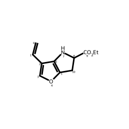 C=Cc1coc2c1NC(C(=O)OCC)C2